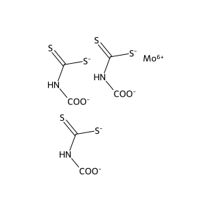 O=C([O-])NC(=S)[S-].O=C([O-])NC(=S)[S-].O=C([O-])NC(=S)[S-].[Mo+6]